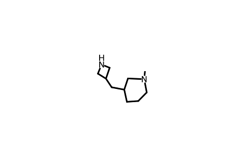 CN1CCCC(CC2CNC2)C1